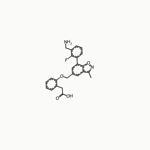 Cc1noc2c(-c3cccc(CN)c3F)cc(COc3ccccc3CC(=O)O)cc12